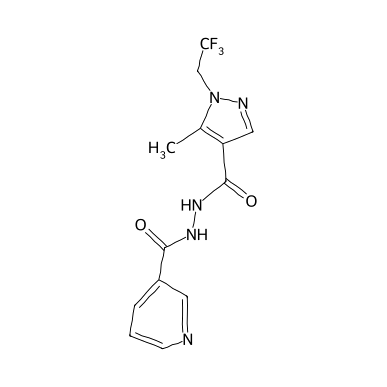 Cc1c(C(=O)NNC(=O)c2cccnc2)cnn1CC(F)(F)F